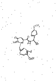 COc1ccc(Cc2nc(C(=O)NC(c3ccc(OC(F)(F)F)cc3)C(C)C)cc(=O)[nH]2)cc1F